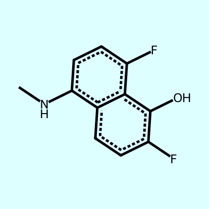 CNc1ccc(F)c2c(O)c(F)ccc12